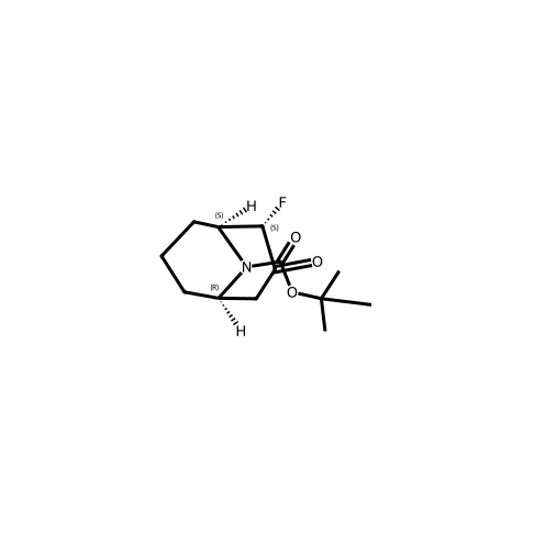 CC(C)(C)OC(=O)N1[C@@H]2CCC[C@H]1[C@H](F)C(=O)C2